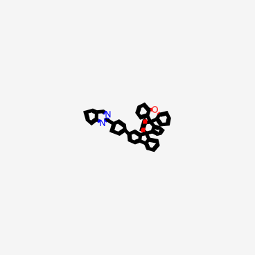 c1ccc2c(c1)Oc1ccccc1C21c2ccccc2C2(c3ccccc3-c3ccc(-c4ccc(-c5ncc6ccccc6n5)cc4)cc32)c2ccccc21